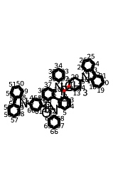 CCc1cccc2c1-c1c(N(PC3C=CC(n4c5ccccc5c5ccccc54)CC3)c3ccccc3)cccc1P(=O)(c1ccc(-n3c4ccccc4c4ccccc43)cc1)N2c1ccccc1